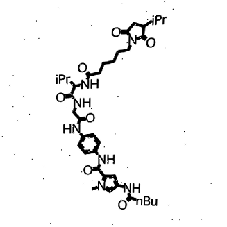 CCCCC(=O)Nc1cc(C(=O)Nc2ccc(NC(=O)CNC(=O)C(NC(=O)CCCCCN3C(=O)CC(C(C)C)C3=O)C(C)C)cc2)n(C)c1